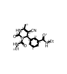 CCNC(=O)c1cccc(C2C(C#N)=C(C)NC(=O)N2C(=O)NCC)c1